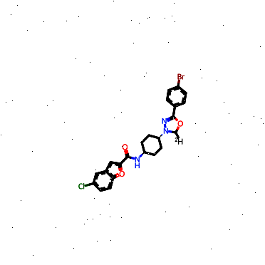 [2H]C1OC(c2ccc(Br)cc2)=NN1[C@H]1CC[C@H](NC(=O)c2cc3cc(Cl)ccc3o2)CC1